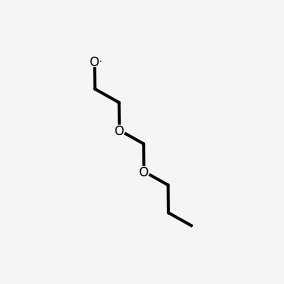 CCCOCOCC[O]